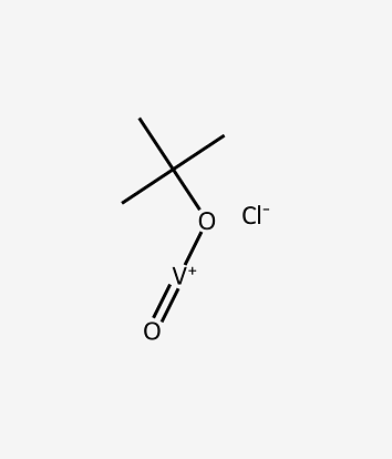 CC(C)(C)[O][V+]=[O].[Cl-]